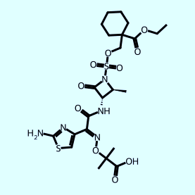 CCOC(=O)C1(COS(=O)(=O)N2C(=O)[C@@H](NC(=O)C(=NOC(C)(C)C(=O)O)c3csc(N)n3)[C@@H]2C)CCCCC1